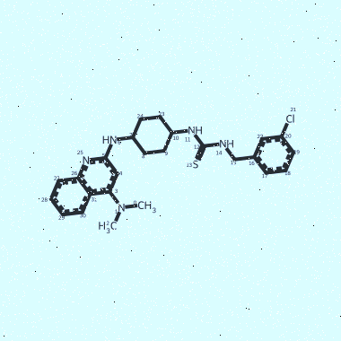 CN(C)c1cc(NC2CCC(NC(=S)NCc3cccc(Cl)c3)CC2)nc2ccccc12